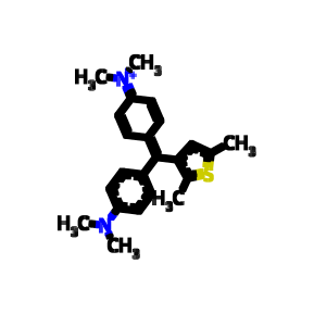 Cc1cc(C(=C2C=CC(=[N+](C)C)C=C2)c2ccc(N(C)C)cc2)c(C)s1